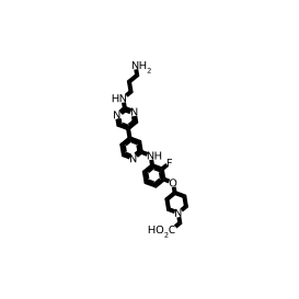 NCCCNc1ncc(-c2ccnc(Nc3cccc(OC4CCN(CC(=O)O)CC4)c3F)c2)cn1